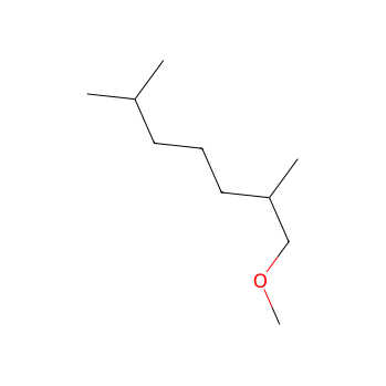 COCC(C)CCCC(C)C